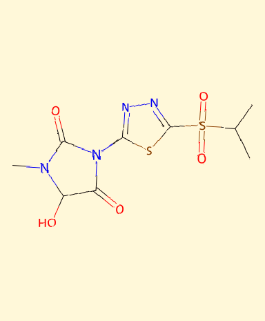 CC(C)S(=O)(=O)c1nnc(N2C(=O)C(O)N(C)C2=O)s1